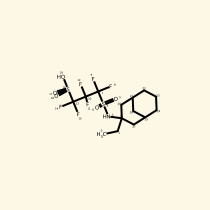 CCC1(NS(=O)(=O)C(F)(F)C(F)(F)C(F)(F)S(=O)(=O)O)CC2CCCC(C2)C1